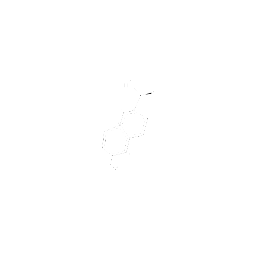 COc1ccc2cc([C@H](C)O)ccc2c1